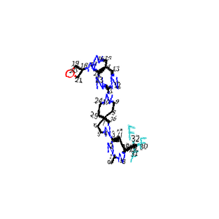 Cc1nc(N2CCC3(CCN(c4ncc5cnn(C6COC6)c5n4)CC3)C2)cc(C(F)(F)F)n1